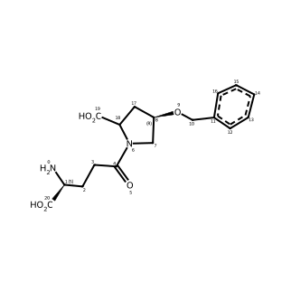 N[C@@H](CCC(=O)N1C[C@H](OCc2ccccc2)CC1C(=O)O)C(=O)O